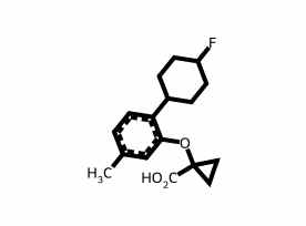 Cc1ccc(C2CCC(F)CC2)c(OC2(C(=O)O)CC2)c1